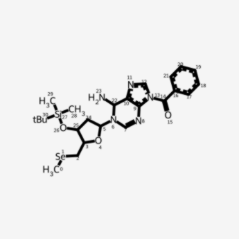 C[Se]CC1OC(N2C=Nc3c(ncn3C(=O)c3ccccc3)C2N)CC1O[Si](C)(C)C(C)(C)C